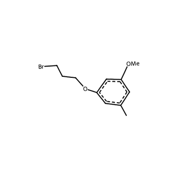 COc1cc(C)cc(OCCCBr)c1